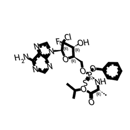 CC(C)OC(=O)[C@@H](C)N[P@](=S)(OC[C@H]1O[C@@H](n2cnc3c(N)ncnc32)[C@@](F)(Cl)[C@@H]1O)Oc1ccccc1